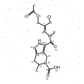 CC(=O)OCC(CCl)=NN(C)C(=O)c1[nH]nc2c1CN(C(=O)O)C(C)C2